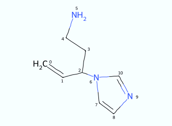 C=CC(CCN)n1ccnc1